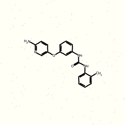 Cc1ccccc1NC(=O)Nc1cccc(Oc2ccc(N)nc2)c1